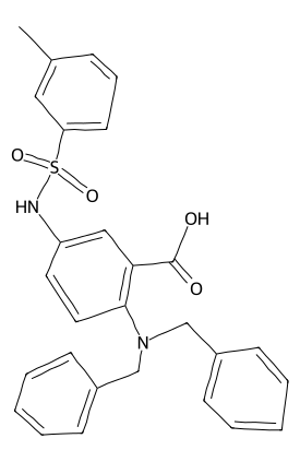 Cc1cccc(S(=O)(=O)Nc2ccc(N(Cc3ccccc3)Cc3ccccc3)c(C(=O)O)c2)c1